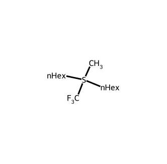 CCCCCCS(C)(CCCCCC)C(F)(F)F